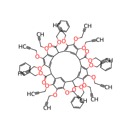 C#CCOc1c2cc(c(OCC#C)c1OCC#C)C(C(=O)OCc1ccccc1)c1cc(c(OCC#C)c(OCC#C)c1OCC#C)C(C(=O)OCc1ccccc1)c1cc(c(OCC#C)c(OCC#C)c1OCC#C)C(C(=O)OCc1ccccc1)c1cc(c(OCC#C)c(OCC#C)c1OCC#C)C2C(=O)OCc1ccccc1